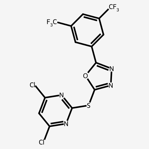 FC(F)(F)c1cc(-c2nnc(Sc3nc(Cl)cc(Cl)n3)o2)cc(C(F)(F)F)c1